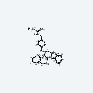 N=C(N)NCc1ccc(CN(Cc2nc3ccccc3[nH]2)C2CCCc3cccnc32)cc1